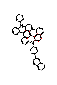 C1=CC(C2=CCC(N(C3=CCCC=C3)c3ccccc3-c3ccc(-c4ccccc4N(c4ccccc4)C4C=CC(c5ccc6ccccc6c5)=CC4)cc3)C=C2)C2CCCCC2=C1